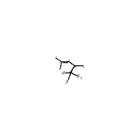 CC(C)=CC(C)C(F)(F)F